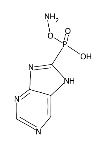 NOP(=O)(O)c1nc2ncncc2[nH]1